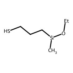 CCO[Si](C)CCCS